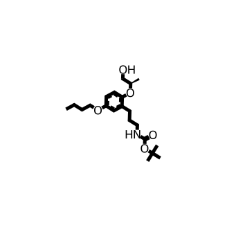 CCCCOc1ccc(O[C@H](C)CO)c(CCCNC(=O)OC(C)(C)C)c1